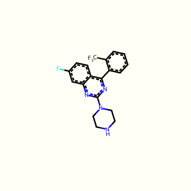 Fc1ccc2c(-c3ccccc3C(F)(F)F)nc(N3CCNCC3)nc2c1